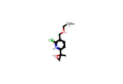 COCOCc1ccc(C2(C)CO2)nc1Cl